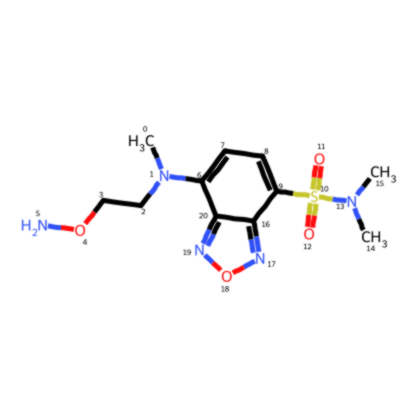 CN(CCON)c1ccc(S(=O)(=O)N(C)C)c2nonc12